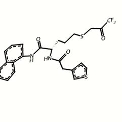 O=C(Cc1ccsc1)N[C@@H](CCCSCC(=O)C(F)(F)F)C(=O)Nc1cccc2ccccc12